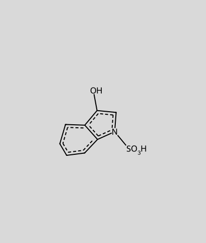 O=S(=O)(O)n1cc(O)c2ccccc21